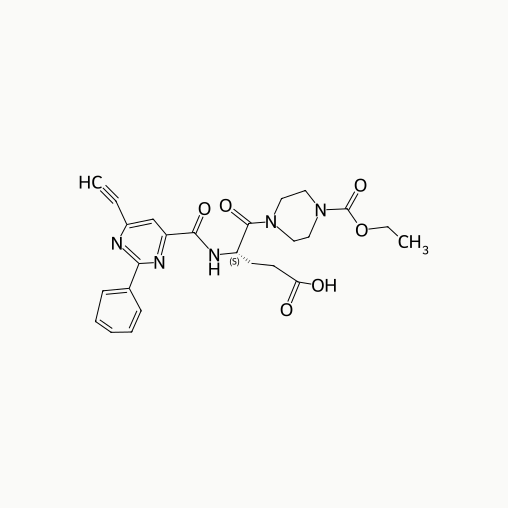 C#Cc1cc(C(=O)N[C@@H](CCC(=O)O)C(=O)N2CCN(C(=O)OCC)CC2)nc(-c2ccccc2)n1